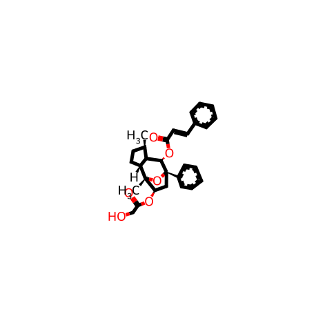 C[C@@H]1CC[C@@H]2C1[C@H](OC(=O)/C=C/c1ccccc1)[C@]1(c3ccccc3)C[C@@H](OC(=O)CO)[C@@]2(C)O1